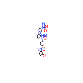 COC(=O)NC1CCN(c2cccc3c2[nH]c(=O)n3[C@H]2CC[C@@H](C(=O)Nc3ccc(C)c(OC)c3)CC2)C1